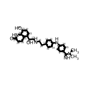 CN(C)C(=N)c1ccc(Nc2ccc(CCNC[C@H](O)c3ccc(O)c4[nH]c(=O)ccc34)cc2)cc1